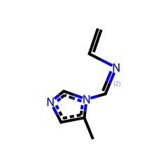 C=C/N=C\n1cncc1C